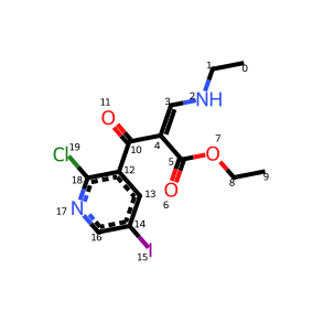 CCN/C=C(\C(=O)OCC)C(=O)c1cc(I)cnc1Cl